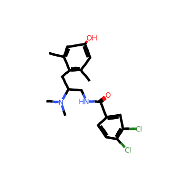 Cc1cc(O)cc(C)c1CC(CNC(=O)c1ccc(Cl)c(Cl)c1)N(C)C